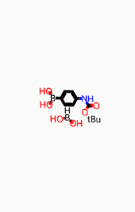 CC(C)(C)OC(=O)Nc1ccc(B(O)O)cc1.OBO